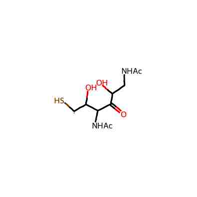 CC(=O)NCC(O)C(=O)C(NC(C)=O)C(O)[CH]S